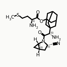 CSCC[C@H](N)C(=O)OC12CC3CC(C1)CC([C@H](N)C(=O)N1[C@H](C#N)C[C@@H]4C[C@@H]41)(C3)C2